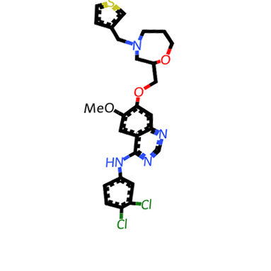 COc1cc2c(Nc3ccc(Cl)c(Cl)c3)ncnc2cc1OCC1CN(Cc2ccsc2)CCCO1